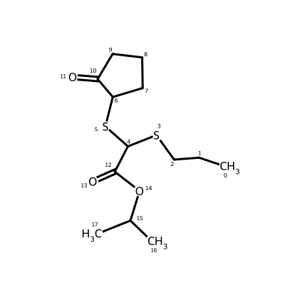 CCCSC(SC1CCCC1=O)C(=O)OC(C)C